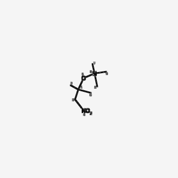 CC(C)(C[N+](=O)[O-])O[Si](C)(C)C